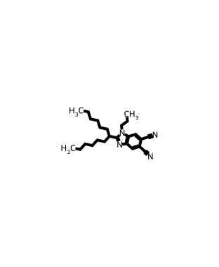 CCCCCCC(CCCCCC)c1nc2cc(C#N)c(C#N)cc2n1CCC